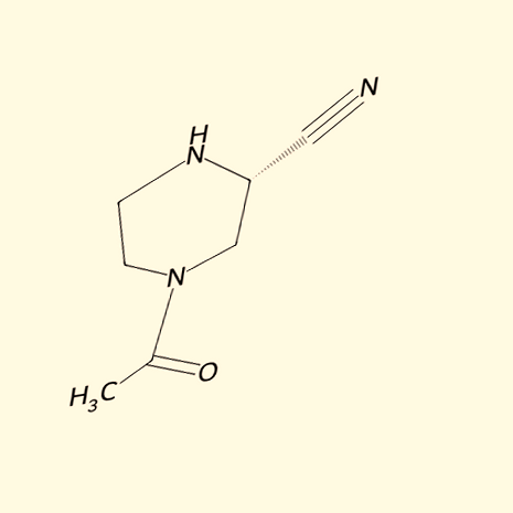 CC(=O)N1CCN[C@H](C#N)C1